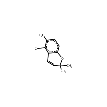 CC1(C)C=Cc2c(ccc(C(F)(F)F)c2Cl)O1